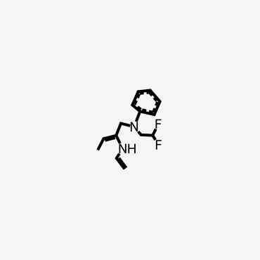 C=CN/C(=C\C)CN(CC(F)F)c1ccccc1